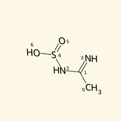 CC(=N)NS(=O)O